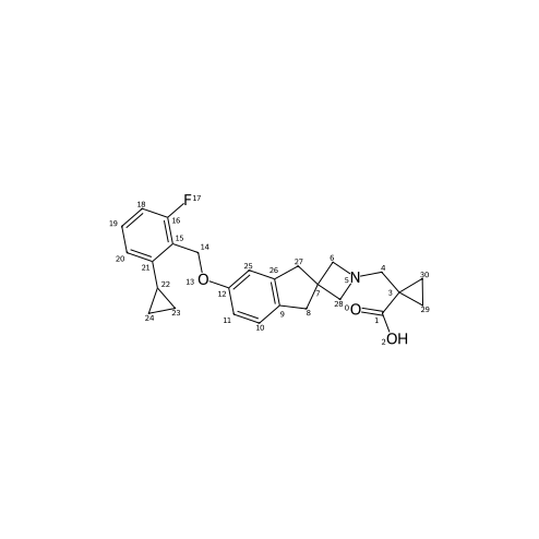 O=C(O)C1(CN2CC3(Cc4ccc(OCc5c(F)cccc5C5CC5)cc4C3)C2)CC1